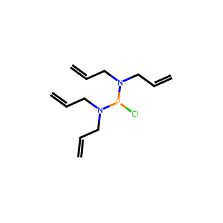 C=CCN(CC=C)P(Cl)N(CC=C)CC=C